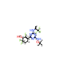 C=C(Nc1nc(NOC(C)(C)C)nc(C2=C(F)C(O)C(F)(F)CC2)n1)C(F)(F)F